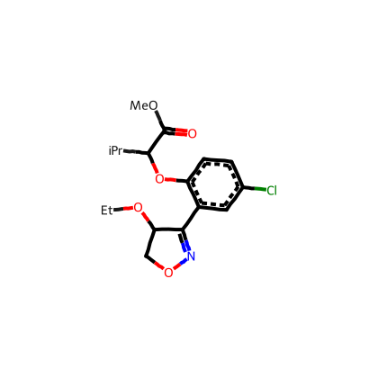 CCOC1CON=C1c1cc(Cl)ccc1OC(C(=O)OC)C(C)C